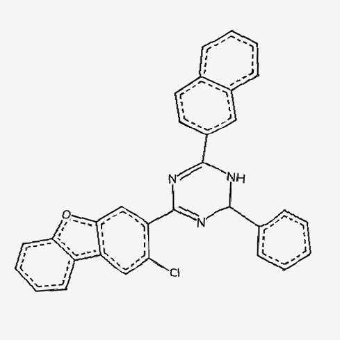 Clc1cc2c(cc1C1=NC(c3ccccc3)NC(c3ccc4ccccc4c3)=N1)oc1ccccc12